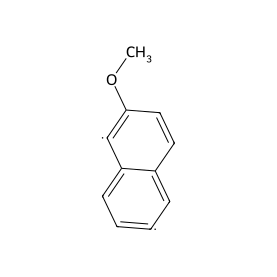 COc1[c]c2cc[c]cc2cc1